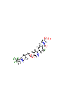 C[C@H]1C[C@@H](O)CN1C(=O)c1ccc(-c2ccc(OCC3CCN(CC(C)(C)C(F)(F)F)CC3)cn2)cc1F